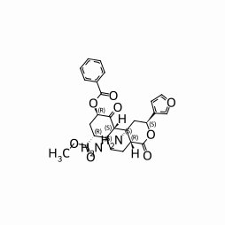 COC(=O)[C@@H]1C[C@@H](OC(=O)c2ccccc2)C(=O)[C@H]2[C@@]1(N)CC[C@H]1C(=O)O[C@H](c3ccoc3)C[C@]21N